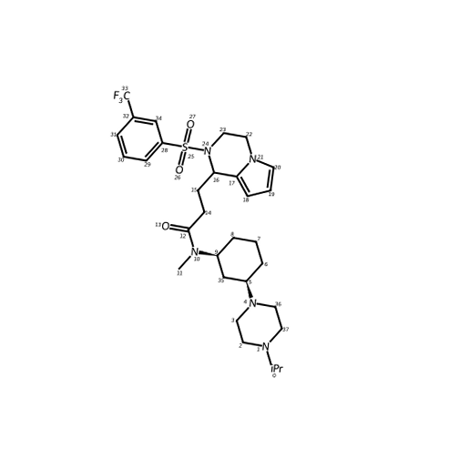 CC(C)N1CCN([C@@H]2CCC[C@H](N(C)C(=O)CCC3c4cccn4CCN3S(=O)(=O)c3cccc(C(F)(F)F)c3)C2)CC1